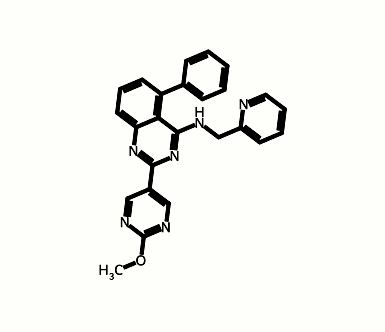 COc1ncc(-c2nc(NCc3ccccn3)c3c(-c4ccccc4)cccc3n2)cn1